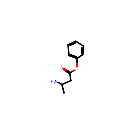 CC(N)CC(=O)Oc1ccccc1